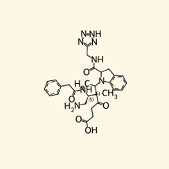 CC(N1c2ccccc2CC1C(=O)NCc1nn[nH]n1)[C@@](C)(C(=O)CCC(=O)O)[C@@H](CN)NC(=O)Cc1ccccc1